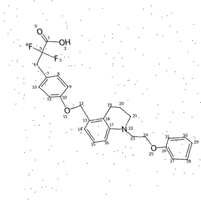 O=C(O)C(F)(F)Cc1ccc(OCc2cccc3c2CCCN3CCOc2ccccc2)cc1